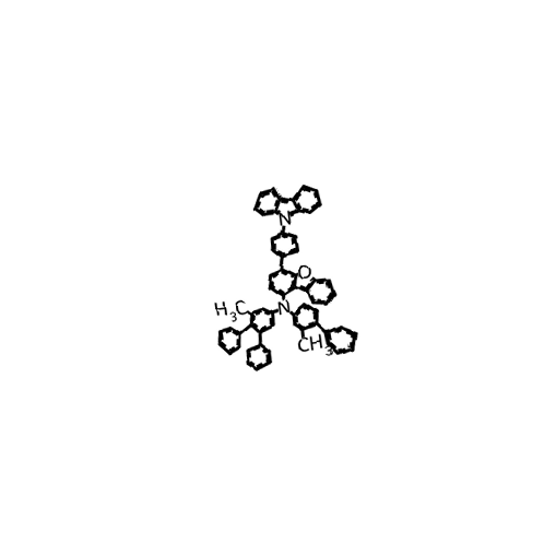 Cc1cc(N(c2cc(C)c(-c3ccccc3)c(-c3ccccc3)c2)c2ccc(-c3ccc(-n4c5ccccc5c5ccccc54)cc3)c3oc4ccccc4c23)ccc1-c1ccccc1